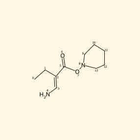 CCC(=CN)C(=O)ON1CCCCC1